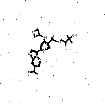 CC(C)(O)C(F)CNC(=O)c1cnc(-c2cnc3cc(C(F)F)cnn23)cc1NC1COC1